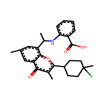 Cc1cc(C(C)Nc2ccccc2C(=O)O)c2oc(C3CCC(C)(F)CC3)c(C)c(=O)c2c1